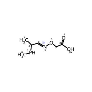 CPC(C)/C=N/OCC(=O)O